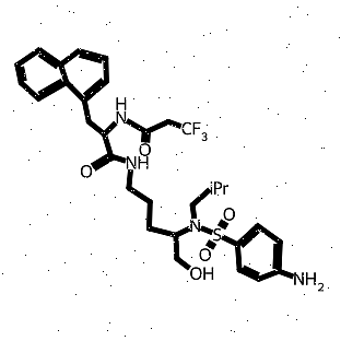 CC(C)CN(C(CO)CCCNC(=O)C(Cc1cccc2ccccc12)NC(=O)CC(F)(F)F)S(=O)(=O)c1ccc(N)cc1